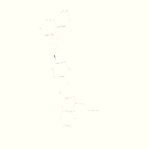 CCN(C)c1nc(NC[C@H]2CC[C@H](CNS(=O)(=O)c3cccc4ccccc34)CC2)nc2ccccc12